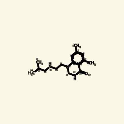 Cc1cc(C)c2c(c1)N(CCNCC(C)C)CNC2=O